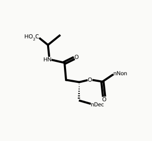 CCCCCCCCCCC[C@H](CC(=O)NC(C)C(=O)O)OC(=O)CCCCCCCCC